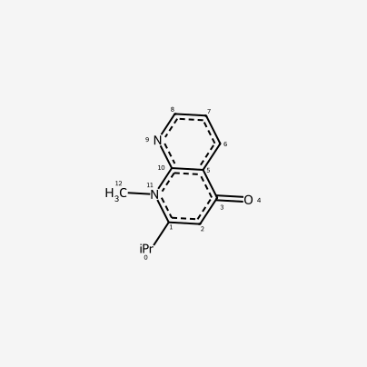 CC(C)c1cc(=O)c2cccnc2n1C